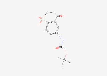 CC(C)(C)OC(=O)Nc1ccc2c(c1)C(=O)CCS2(=O)=O